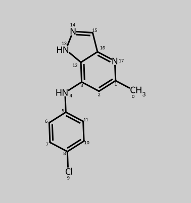 Cc1cc(Nc2ccc(Cl)cc2)c2[nH]ncc2n1